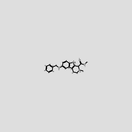 COC(=O)C1c2[nH]c3ccc(OCc4ccccc4)cc3c2CCN1C